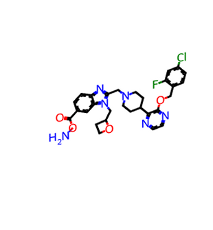 NOC(=O)c1ccc2nc(CN3CCC(c4nccnc4OCc4ccc(Cl)cc4F)CC3)n(CC3CCO3)c2c1